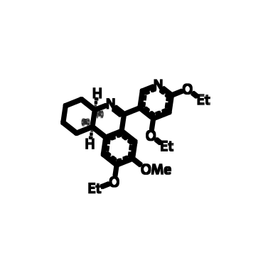 CCOc1cc(OCC)c(C2=N[C@@H]3CCCC[C@@H]3c3cc(OCC)c(OC)cc32)cn1